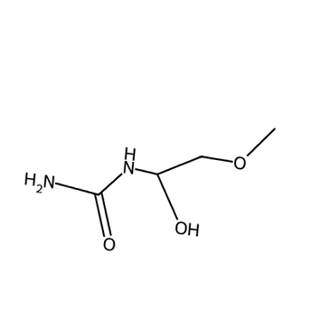 COCC(O)NC(N)=O